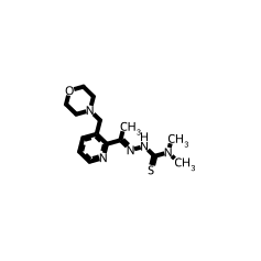 C/C(=N\NC(=S)N(C)C)c1ncccc1CN1CCOCC1